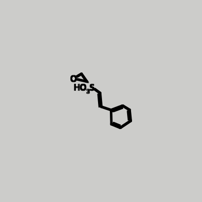 C1CO1.O=S(=O)(O)C=Cc1ccccc1